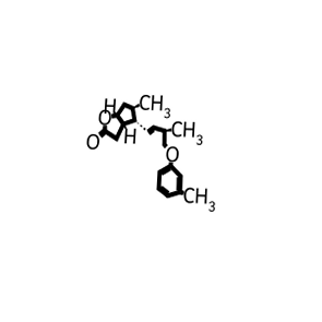 Cc1cccc(OC[C@H](C)/C=C/[C@@H]2[C@H]3CC(=O)O[C@H]3C[C@H]2C)c1